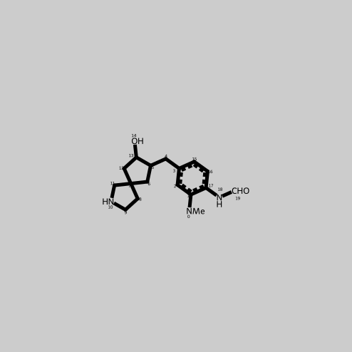 CNc1cc(CC2CC3(CCNC3)CC2O)ccc1NC=O